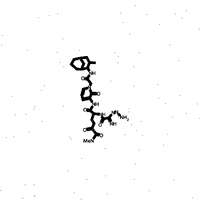 CNC(=O)C(=O)CCC(NC(=O)C(=N)/N=N\N)C(=O)Nc1cccn(CC(=O)NC2C(C)CC3CCCC2C3)c1=O